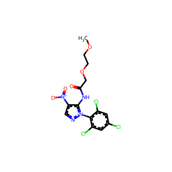 COCCOCC(=O)Nc1c([N+](=O)[O-])cnn1-c1c(Cl)cc(Cl)cc1Cl